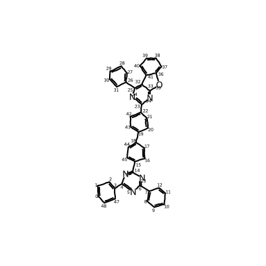 c1ccc(-c2nc(-c3ccccc3)nc(-c3ccc(-c4ccc(-c5nc(-c6ccccc6)c6c(n5)oc5ccccc56)cc4)cc3)n2)cc1